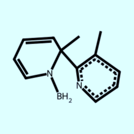 BN1C=CC=CC1(C)c1ncccc1C